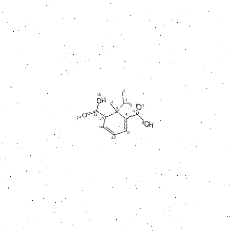 CC(C)C1(C)C(C(=O)O)=CC=CC1C(=O)O